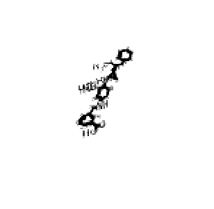 CC/C(=C\c1ccccc1)C1CC1NC1CCC(NCc2cccc(C(=O)O)c2)CC1.Cl.Cl